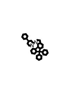 c1ccc(-c2ccnc(-n3ccc4ccc5c(c43)-c3ccccc3C5(c3ccccc3)c3ccccc3)c2)cc1